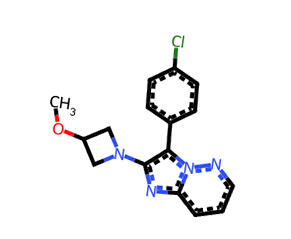 COC1CN(c2nc3cccnn3c2-c2ccc(Cl)cc2)C1